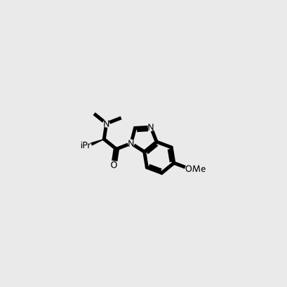 COc1ccc2c(c1)ncn2C(=O)[C@@H](C(C)C)N(C)C